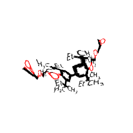 CCC(C)(C)c1cc(-c2cc(C(C)(C)CC)c(OCCOCC3CO3)c(C(C)(C)CC)c2)cc(C(C)(C)CC)c1OCCOCC1CO1